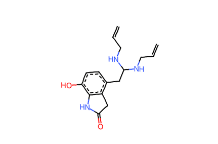 C=CCNC(Cc1ccc(O)c2c1CC(=O)N2)NCC=C